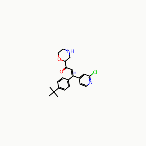 CC(C)(C)c1ccc(/C(=C\C(=O)C2CNCCO2)c2ccnc(Cl)c2)cc1